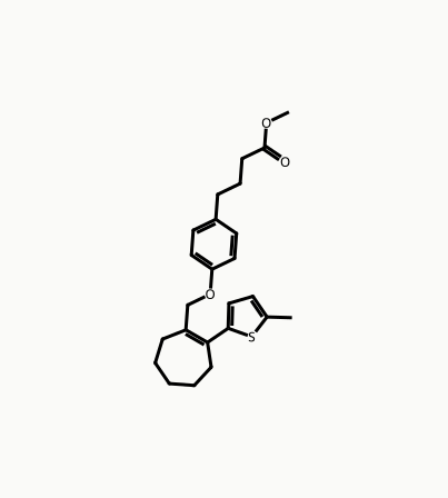 COC(=O)CCCc1ccc(OCC2=C(c3ccc(C)s3)CCCCC2)cc1